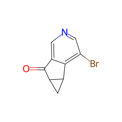 O=C1c2cncc(Br)c2C2CC12